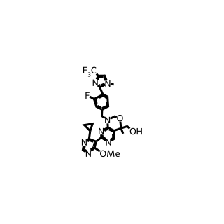 COc1ncnc(C2CC2)c1-c1ncc2c(n1)N(Cc1ccc(-c3nc(C(F)(F)F)cn3C)c(F)c1)COC2(C)CO